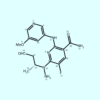 COc1cncc(Nc2nc(N(N)[C@H](C)CC=O)c(F)cc2C(N)=O)c1